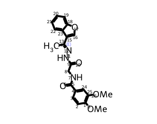 COc1ccc(C(=O)NCC(=O)N/N=C(\C)c2coc3ccccc23)cc1OC